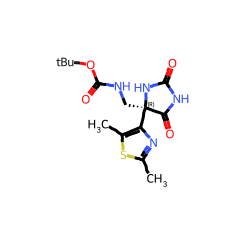 Cc1nc([C@@]2(CNC(=O)OC(C)(C)C)NC(=O)NC2=O)c(C)s1